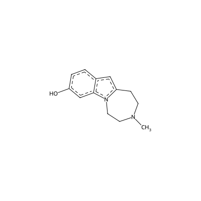 CN1CCc2cc3ccc(O)cc3n2CC1